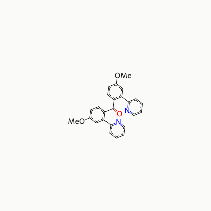 COc1ccc(C(=O)c2ccc(OC)cc2-c2ccccn2)c(-c2ccccn2)c1